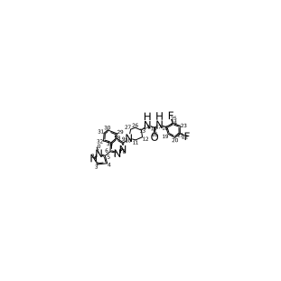 Cn1nccc1-c1nnc(N2CCC(NC(=O)Nc3ccc(F)cc3F)CC2)c2ccccc12